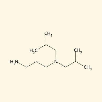 CC(C)CN(CCCN)CC(C)C